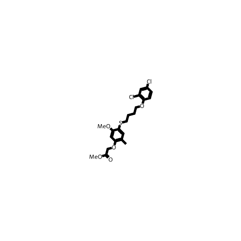 COC(=O)COc1cc(OC)c(SCCCCOc2ccc(Cl)cc2Cl)cc1C